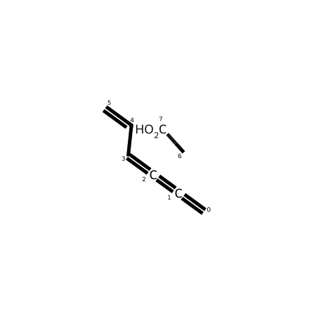 C=C=C=CC=C.CC(=O)O